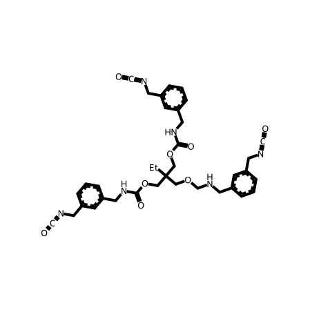 CCC(COCNCc1cccc(CN=C=O)c1)(COC(=O)NCc1cccc(CN=C=O)c1)COC(=O)NCc1cccc(CN=C=O)c1